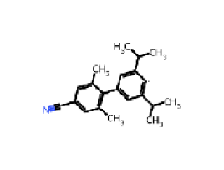 Cc1cc(C#N)cc(C)c1-c1cc(C(C)C)[c]c(C(C)C)c1